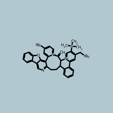 C=C1C2C(CCc3ncc4c(oc5ccccc54)c3-c3cc(C(C)(C)C)cc[n+]31)c1ccccc1-c1cc(CC(C)(C)C)c([Si](C)(C)C)c[n+]12